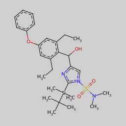 CCc1cc(Oc2ccccc2)cc(CC)c1C(O)c1cn(S(=O)(=O)N(C)C)c([Si](C)(C)C(C)(C)C)n1